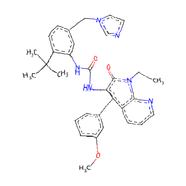 CCn1c(=O)c(NC(=O)Nc2cc(Cn3ccnc3)ccc2C(C)(C)C)c(-c2cccc(OC)c2)c2cccnc21